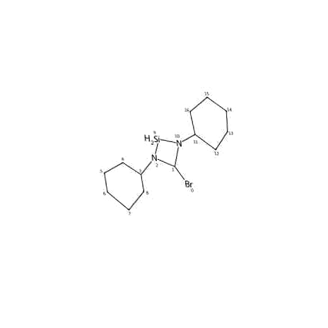 BrC1N(C2CCCCC2)[SiH2]N1C1CCCCC1